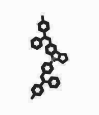 Cc1ccc(/C(=C/c2ccc(N3c4ccc(/C=C(\c5ccccc5)c5ccc(C)cc5)cc4C4CCCC43)cc2)c2ccccc2)cc1